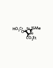 CCOC(=O)c1nc(SC)sc1OC(=O)O